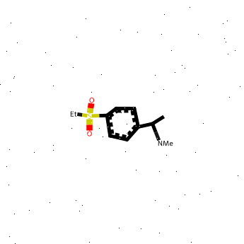 CCS(=O)(=O)c1ccc(C(C)NC)cc1